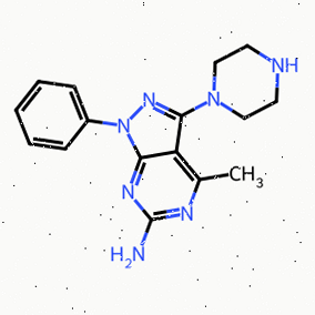 Cc1nc(N)nc2c1c(N1CCNCC1)nn2-c1ccccc1